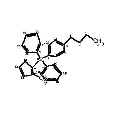 CCCCc1ccc([Si](C2=C(C)C=CC2)(c2ccccc2)c2ccccc2)cc1